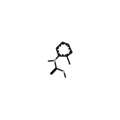 C=C(SC)N(C)c1ccccc1C